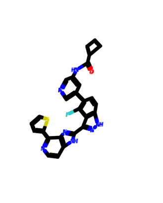 O=C(Nc1cncc(-c2ccc3[nH]nc(-c4nc5c(-c6cccs6)nccc5[nH]4)c3c2F)c1)C1CCC1